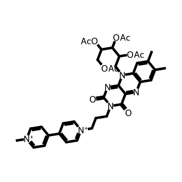 CC(=O)OCC(OC(C)=O)C(OC(C)=O)C(Cn1c2nc(=O)n(CCC[n+]3ccc(-c4cc[n+](C)cc4)cc3)c(=O)c-2nc2cc(C)c(C)cc21)OC(C)=O